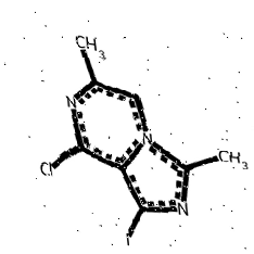 Cc1cn2c(C)nc(I)c2c(Cl)n1